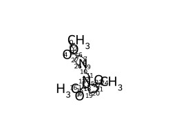 CCOC(=O)C1CCN(CCCn2cc(C(C)=O)c3cccc(OC)c32)CC1